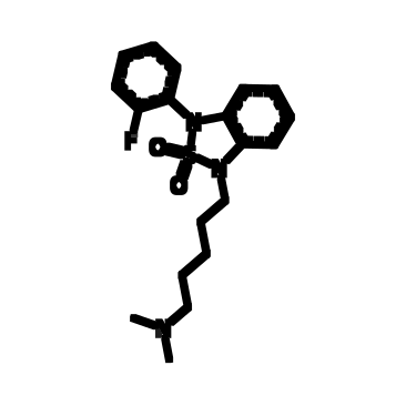 CN(C)CCCCCN1c2ccccc2N(c2ccccc2F)S1(=O)=O